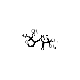 COC1(C)OCCC1OC(=O)C(C)(C)C